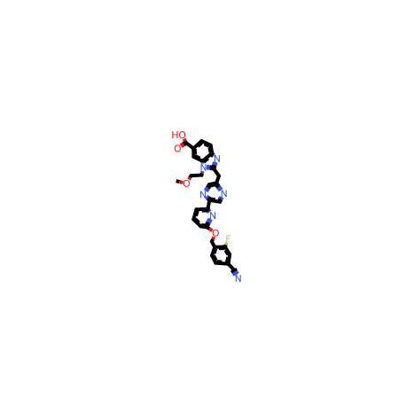 COCCn1c(Cc2cnc(-c3cccc(OCc4ccc(C#N)cc4F)n3)cn2)nc2ccc(C(=O)O)cc21